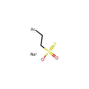 CC(=O)CCS(=O)([O-])=S.[Na+]